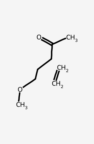 C=C.COCCCC(C)=O